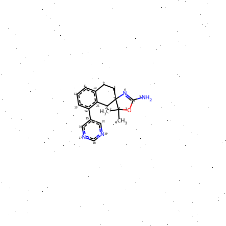 CC1(C)OC(N)=N[C@]12CCc1cccc(-c3cncnc3)c1C2